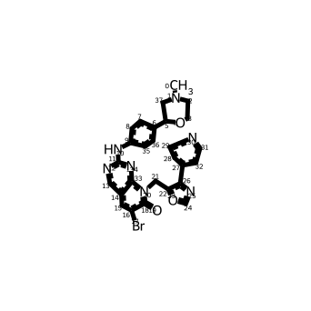 CN1CCOC(c2ccc(Nc3ncc4cc(Br)c(=O)n(Cc5ocnc5-c5ccncc5)c4n3)cc2)C1